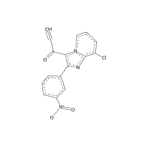 C#CC(=O)c1c(-c2cccc([N+](=O)[O-])c2)nc2c(Cl)cccn12